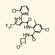 Cc1cc(Cl)cc(C(=O)NC2C[S+]([O-])C2)c1NC(=O)c1cc(C(F)(F)F)nn1-c1ncccc1Cl